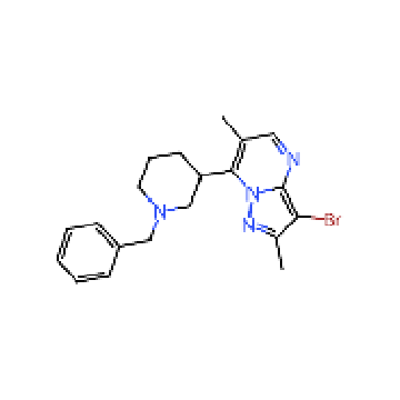 Cc1cnc2c(Br)c(C)nn2c1C1CCCN(Cc2ccccc2)C1